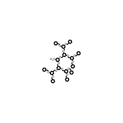 Cc1cc(OCc2cc(OCc3cc(OCc4ccccc4)cc(OCc4ccccc4)c3)cc(OCc3cc(OCc4ccccc4)cc(OCc4ccccc4)c3)c2)cc(OCc2cc(OCc3cc(OCc4ccccc4)cc(OCc4ccccc4)c3)cc(OCc3cc(OCc4ccccc4)cc(OCc4ccccc4)c3)c2)c1